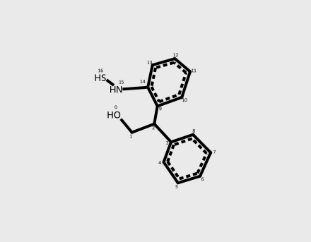 OCC(c1ccccc1)c1ccccc1NS